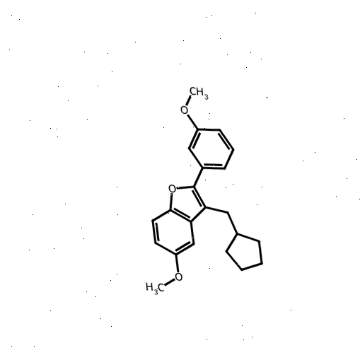 COc1cccc(-c2oc3ccc(OC)cc3c2CC2CCCC2)c1